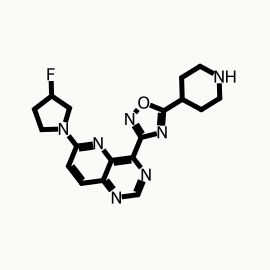 FC1CCN(c2ccc3ncnc(-c4noc(C5CCNCC5)n4)c3n2)C1